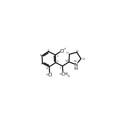 CC(c1c(Cl)cccc1Cl)C1CCCN1